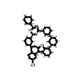 CCc1ccc2ccc3oc4c(-c5cccc(-c6cccc(-c7nc(-c8ccccc8)nc(-c8ccccc8)n7)c6)c5)cccc4c3c2c1